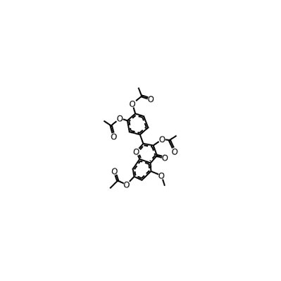 COc1cc(OC(C)=O)cc2oc(-c3ccc(OC(C)=O)c(OC(C)=O)c3)c(OC(C)=O)c(=O)c12